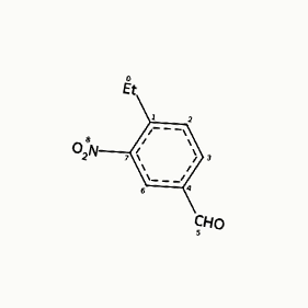 CCc1ccc(C=O)cc1[N+](=O)[O-]